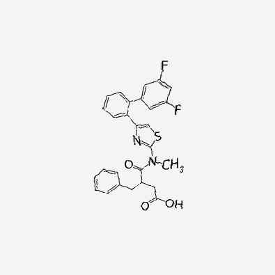 CN(C(=O)C(CC(=O)O)Cc1ccccc1)c1nc(-c2ccccc2-c2cc(F)cc(F)c2)cs1